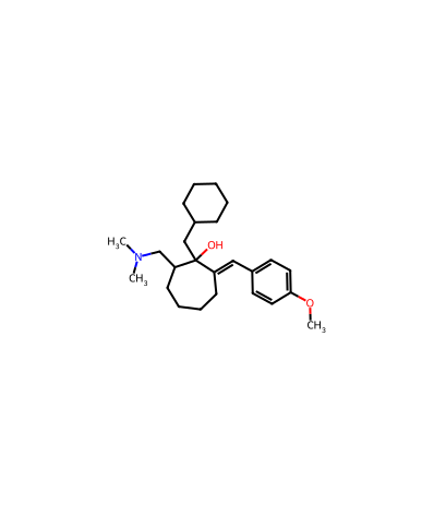 COc1ccc(/C=C2\CCCCC(CN(C)C)C2(O)CC2CCCCC2)cc1